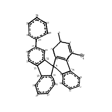 CC1C=C(Br)C2=C(C1)C1(c3ccccc32)c2ccccc2-c2ccc(-c3ccccc3)cc21